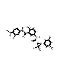 CNc1ccc(NC(=O)c2cc(NC(=O)[C@@H]3[C@@H](c4cc(Cl)cc(Cl)c4)C3(Cl)Cl)ccc2Cl)cc1F